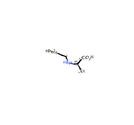 CCCCCCN[C@H](CC)C(=O)O